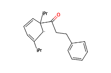 CC(C)C1=CC=CC(C(=O)CCc2ccccc2)(C(C)C)[CH]1